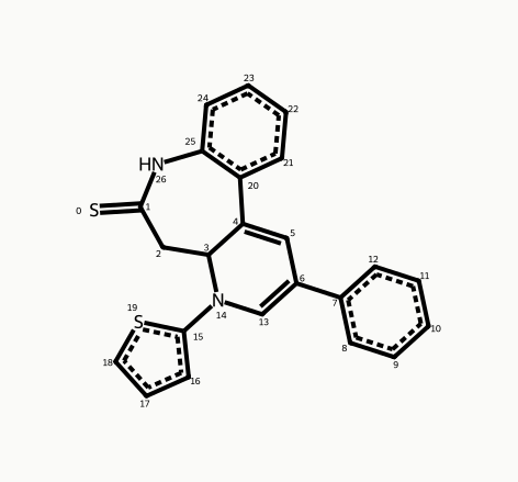 S=C1CC2C(=CC(c3ccccc3)=CN2c2cccs2)c2ccccc2N1